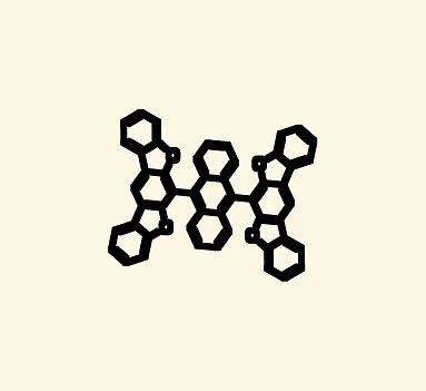 c1ccc2c(c1)oc1c(-c3c4ccccc4c(-c4c5oc6ccccc6c5cc5c4oc4ccccc45)c4ccccc34)c3oc4ccccc4c3cc12